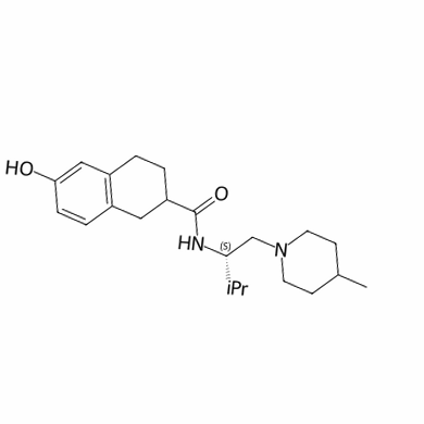 CC1CCN(C[C@@H](NC(=O)C2CCc3cc(O)ccc3C2)C(C)C)CC1